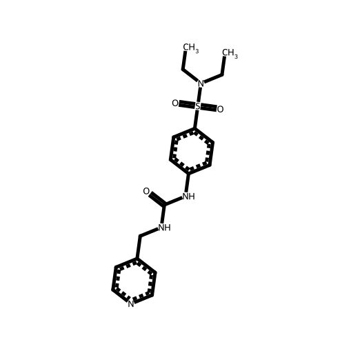 CCN(CC)S(=O)(=O)c1ccc(NC(=O)NCc2ccncc2)cc1